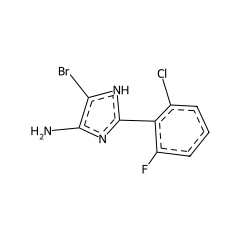 Nc1nc(-c2c(F)cccc2Cl)[nH]c1Br